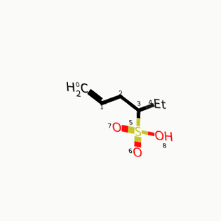 C=[C]CC(CC)S(=O)(=O)O